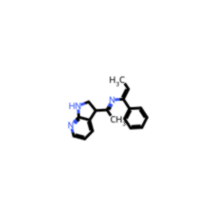 C/C=C(\N=C(/C)C1CNc2ncccc21)c1ccccc1